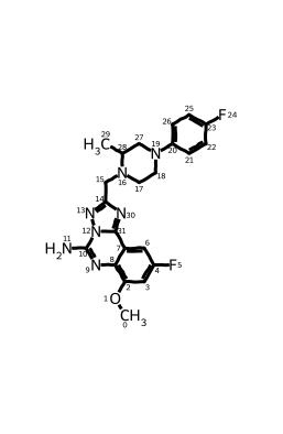 COc1cc(F)cc2c1nc(N)n1nc(CN3CCN(c4ccc(F)cc4)CC3C)nc21